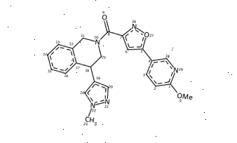 COc1ccc(-c2cc(C(=O)N3Cc4ccccc4C(c4cnn(C)c4)C3)no2)cn1